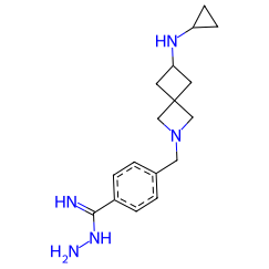 N=C(NN)c1ccc(CN2CC3(CC(NC4CC4)C3)C2)cc1